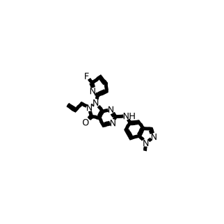 C=CCn1c(=O)c2cnc(Nc3ccc4c(cnn4C)c3)nc2n1-c1cccc(F)n1